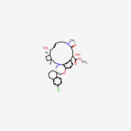 COC(=O)[C@]1(O)CC(=O)N(C)CC/C=C/[C@@H](O)[C@@H]2CC[C@H]2CN2C[C@]3(CCCc4cc(Cl)ccc43)COc3ccc1cc32